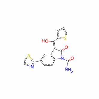 NC(=O)N1C(=O)C(=C(O)c2cccs2)c2cc(-c3nccs3)ccc21